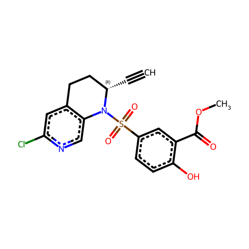 C#C[C@H]1CCc2cc(Cl)ncc2N1S(=O)(=O)c1ccc(O)c(C(=O)OC)c1